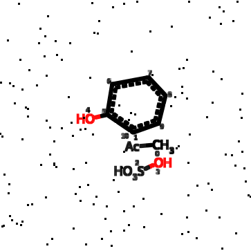 CC(C)=O.O=S(=O)(O)O.Oc1ccccc1